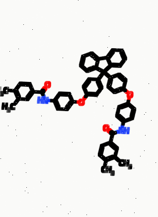 Cc1ccc(C(=O)Nc2ccc(Oc3ccc(C4(c5ccc(Oc6ccc(NC(=O)c7ccc(C)c(C)c7)cc6)cc5)c5ccccc5-c5ccccc54)cc3)cc2)cc1C